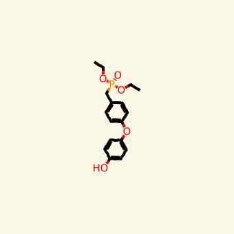 CCOP(=O)(Cc1ccc(Oc2ccc(O)cc2)cc1)OCC